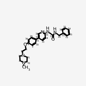 CN1CCN(CCOc2ccc(-c3ccc(NC(=O)NCc4ccccc4)nc3)cc2)CC1